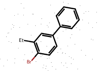 CCc1cc(-c2ccccc2)ccc1Br